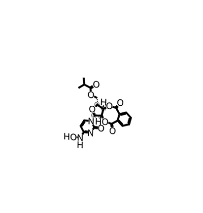 CC(C)C(=O)OC[C@H]1O[C@@H](n2ccc(NO)nc2=O)[C@@H]2OC(=O)c3ccccc3C(=O)O[C@@H]21